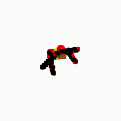 CCCCCCCCCCC(CCCCCCCC)CCCCC(=O)c1sc2c(sc3c(CCCCC(CCCCCCCC)CCCCCCCCCC)c(C(=O)OCC)sc32)c1Br